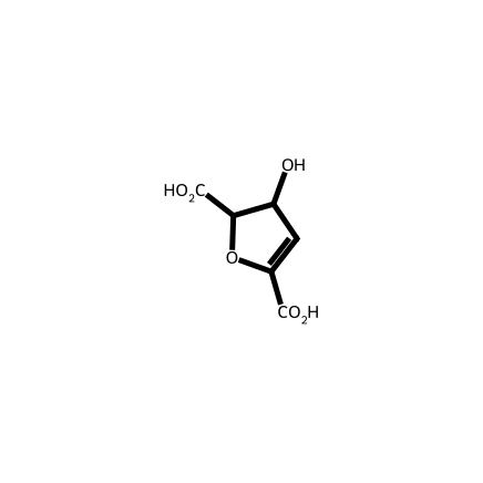 O=C(O)C1=CC(O)C(C(=O)O)O1